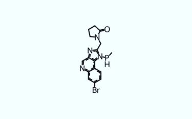 CPn1c(CN2CCCC2=O)nc2cnc3cc(Br)ccc3c21